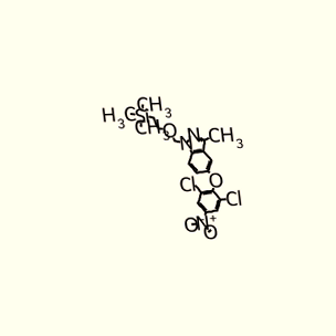 Cc1nn(COCC[Si](C)(C)C)c2ccc(Oc3c(Cl)cc([N+](=O)[O-])cc3Cl)cc12